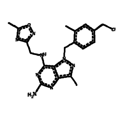 Cc1nc(CNc2nc(N)nc3c(C)nn(Cc4ccc(CCl)cc4C)c23)no1